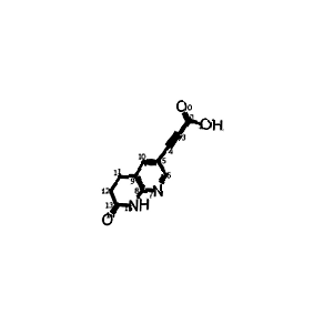 O=C(O)C#Cc1cnc2c(c1)CCC(=O)N2